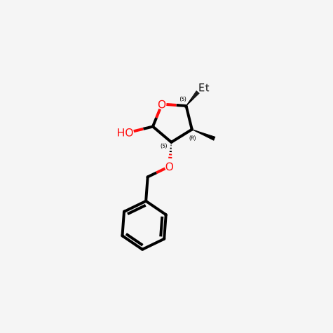 CC[C@@H]1OC(O)[C@@H](OCc2ccccc2)[C@@H]1C